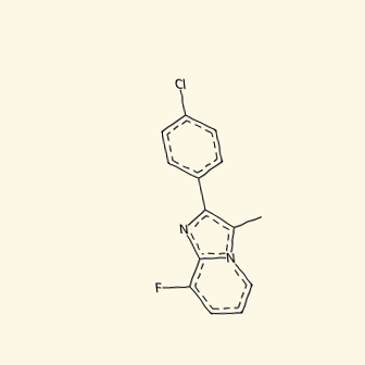 Cc1c(-c2ccc(Cl)cc2)nc2c(F)cccn12